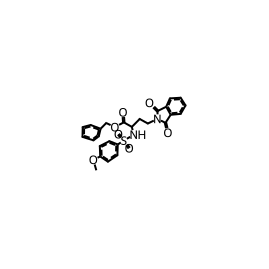 COc1ccc(S(=O)(=O)NC(CCN2C(=O)c3ccccc3C2=O)C(=O)OCc2ccccc2)cc1